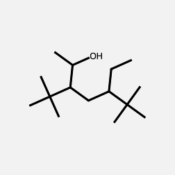 CCC(CC(C(C)O)C(C)(C)C)C(C)(C)C